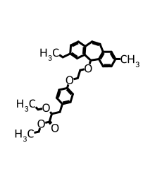 CCOC(=O)C(Cc1ccc(OCCOC2c3ccc(C)cc3C=Cc3ccc(CC)cc32)cc1)OCC